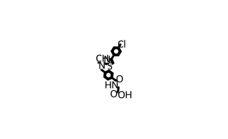 CCN(Cc1ccc(C(=O)NCC(=O)O)cc1)c1nc(-c2ccc(Cl)cc2)cs1